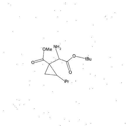 COC(=O)C1(C(N)C(=O)OC(C)(C)C)CC1C(C)C